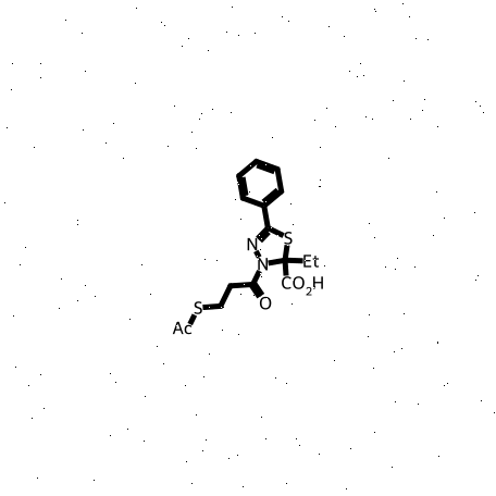 CCC1(C(=O)O)SC(c2ccccc2)=NN1C(=O)CCSC(C)=O